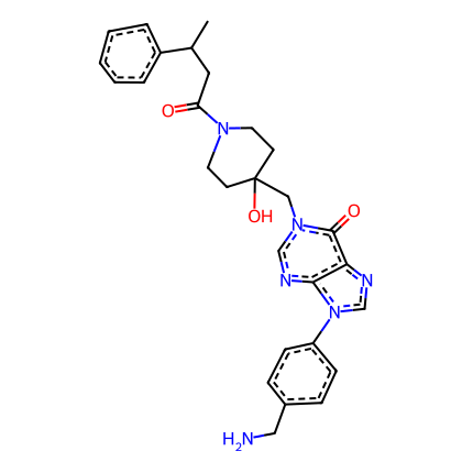 CC(CC(=O)N1CCC(O)(Cn2cnc3c(ncn3-c3ccc(CN)cc3)c2=O)CC1)c1ccccc1